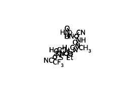 CCc1cc(N2C(=S)N(c3ccc(C#N)c(C(F)(F)F)c3)C(=O)C2(C)C)ccc1OCCN1C[C@@H](C)N(CC(=O)Nc2cc(C#N)cc(NC3CCC(=O)NC3=O)c2)C[C@H]1C